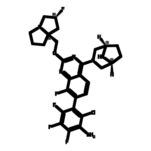 Nc1c(F)c(F)c(F)c(-c2ccc3c(N4C[C@H]5CC[C@@H](C4)N5)nc(OC[C@@]45CCCN4C[C@H](F)C5)nc3c2F)c1Cl